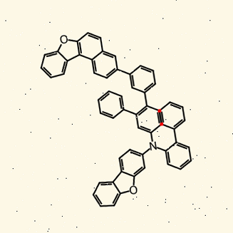 c1ccc(-c2cc(N(c3ccc4c(c3)oc3ccccc34)c3ccccc3-c3ccccc3)ccc2-c2cccc(-c3ccc4c(ccc5oc6ccccc6c54)c3)c2)cc1